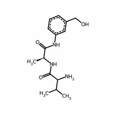 CC(C)C(N)C(=O)N[C@@H](C)C(=O)Nc1cccc(CO)c1